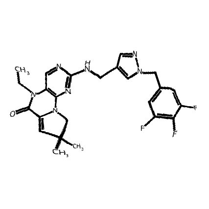 CCN1C(=O)C2=CC(C)(C)CN2c2nc(NCc3cnn(Cc4cc(F)c(F)c(F)c4)c3)ncc21